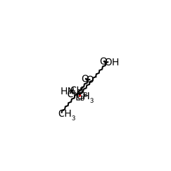 CCCCCCCCCCCCCCCCCC(=O)O.CCCCCCCCCCCCCCCCCC(=O)[O-].CNC.[Li+]